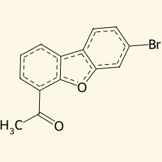 CC(=O)c1cccc2c1oc1cc(Br)ccc12